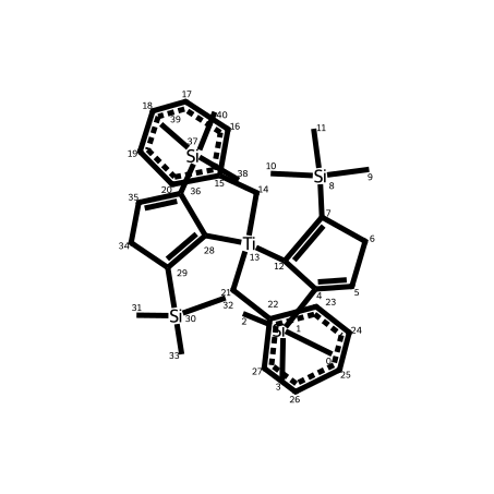 C[Si](C)(C)C1=CCC([Si](C)(C)C)=[C]1[Ti]([CH2]c1ccccc1)([CH2]c1ccccc1)[C]1=C([Si](C)(C)C)CC=C1[Si](C)(C)C